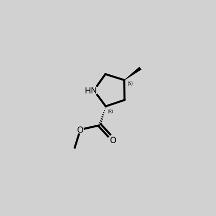 COC(=O)[C@H]1C[C@H](C)CN1